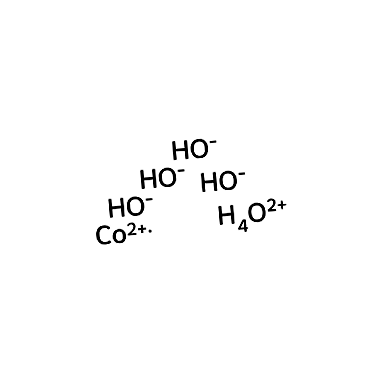 [Co+2].[OH-].[OH-].[OH-].[OH-].[OH4+2]